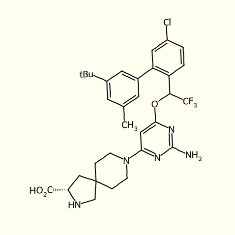 Cc1cc(-c2cc(Cl)ccc2C(Oc2cc(N3CCC4(CC3)CN[C@H](C(=O)O)C4)nc(N)n2)C(F)(F)F)cc(C(C)(C)C)c1